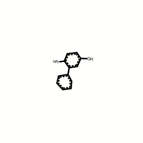 CCCc1ccc(O)cc1-c1ccccc1